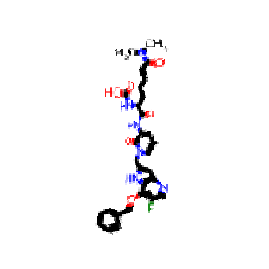 CN(C)C(=O)C=CCCC(NC(=O)O)C(=O)Nc1cccn(Cc2cc3ncc(F)c(OCc4ccccc4)c3[nH]2)c1=O